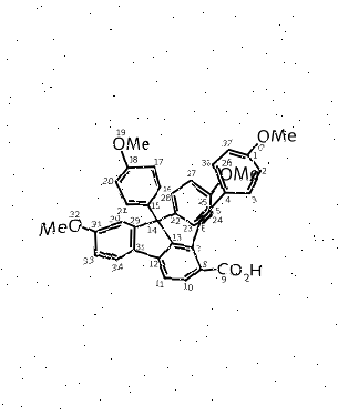 COc1ccc(C#Cc2c(C(=O)O)ccc3c2C(c2ccc(OC)cc2)(c2ccc(OC)cc2)c2cc(OC)ccc2-3)cc1